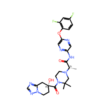 C[C@@H](C(=O)Nc1cnc(Oc2ccc(F)cc2F)cn1)N1CCN(C(=O)[C@@]2(O)CCn3ncnc3C2)C(C)(C)C1